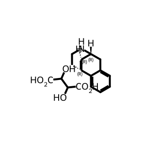 O=C(O)C(O)C(O)C(=O)O.c1ccc2c(c1)C[C@H]1NCC[C@@]23CCCC[C@@H]13